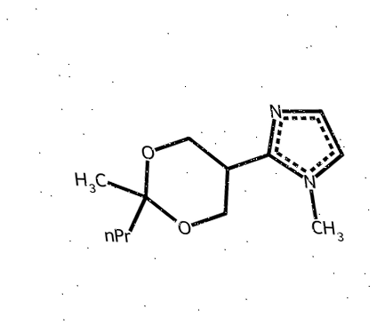 CCCC1(C)OCC(c2nccn2C)CO1